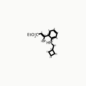 CCOC(=O)C=C(Br)c1ccccc1NCC1CCC1